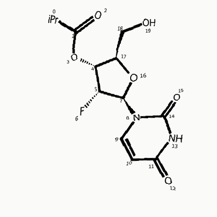 CC(C)C(=O)O[C@H]1[C@@H](F)[C@H](n2ccc(=O)[nH]c2=O)O[C@@H]1CO